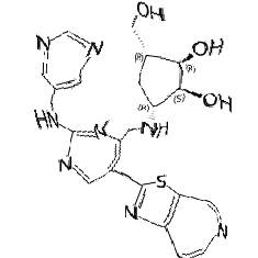 OC[C@H]1C[C@@H](Nc2nc(Nc3cncnc3)ncc2-c2nc3ccncc3s2)[C@H](O)[C@@H]1O